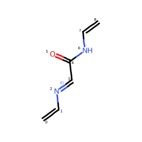 C=C/N=C/C(=O)NC=C